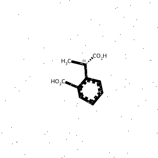 C[C@H](C(=O)O)c1ccccc1C(=O)O